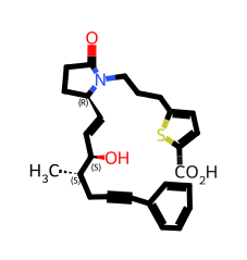 C[C@@H](CC#Cc1ccccc1)[C@H](O)C=C[C@H]1CCC(=O)N1CCCc1ccc(C(=O)O)s1